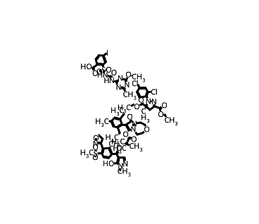 CCOC(=O)C1=NN(c2ccc(Cl)cc2Cl)C(C)(C(=O)OCC)C1.CCc1cc(C)cc(CC)c1-c1c(OC(=O)C(C)(C)C)n2n(c1=O)CCOCC2.COc1nc(C)nc(NC(=O)NS(=O)(=O)c2cc(I)ccc2C(=O)O)n1.Cc1c(C(=O)c2cnn(C)c2O)ccc(S(C)(=O)=O)c1C1=NOCC1